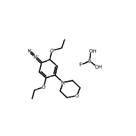 CCOC1=CC(=[N+]=[N-])C(OCC)C=C1N1CCOCC1.OB(O)F